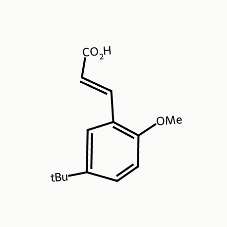 COc1ccc(C(C)(C)C)cc1/C=C/C(=O)O